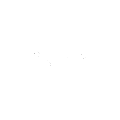 O=C(/C=C/c1cccnc1)NCCC1[C@H]2CN(c3nc(OCc4ccccc4)ncc3F)C[C@@H]12